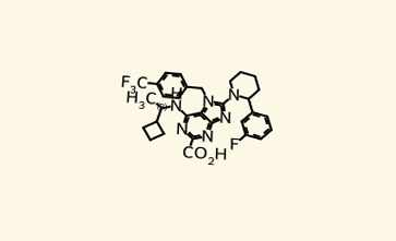 C[C@@H](Nc1nc(C(=O)O)nc2nc(N3CCCCC3c3cccc(F)c3)n(Cc3ccc(C(F)(F)F)cc3)c12)C1CCC1